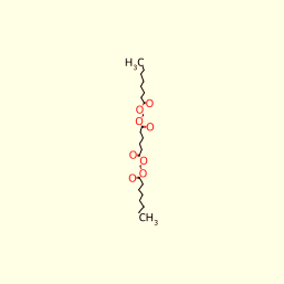 CCCCCCCC(=O)OCOC(=O)CCCCC(=O)OCOC(=O)CCCCCCC